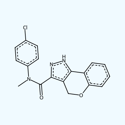 CN(C(=O)c1n[nH]c2c1COc1ccccc1-2)c1ccc(Cl)cc1